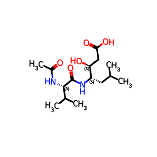 CC(=O)N[C@H](C(=O)N[C@@H](CC(C)C)[C@@H](O)CC(=O)O)C(C)C